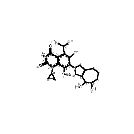 COc1c(N2CC3CCCC(O)C(O)C3C2)c(F)c(C(F)F)c2c(=O)[nH]c(=O)n(C3CC3)c12